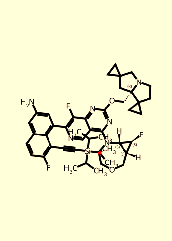 CC(C)[Si](C#Cc1c(F)ccc2cc(N)cc(-c3ncc4c(N5CCOC[C@H]6[C@H](F)[C@H]65)nc(OC[C@]56CC7(CC7)CN5CCC65CC5)nc4c3F)c12)(C(C)C)C(C)C